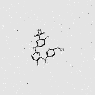 N#CCc1ccc(Nc2nc(Nc3ccc(Cl)c(S(N)(=O)=O)c3)ncc2F)cc1